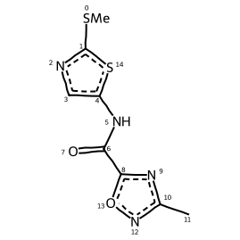 CSc1ncc(NC(=O)c2nc(C)no2)s1